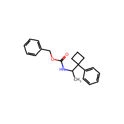 CC(NC(=O)OCc1ccccc1)C1(c2ccccc2)CCC1